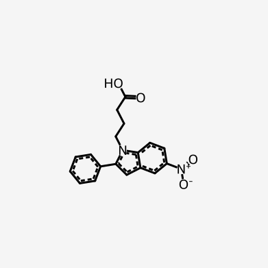 O=C(O)CCCn1c(-c2ccccc2)cc2cc([N+](=O)[O-])ccc21